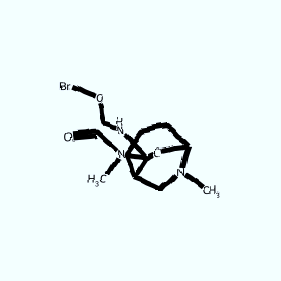 CN1CC2CCCC1CC2(NCOBr)N(C)C=O